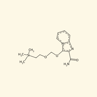 C[Si](C)(C)CCOCOc1c(C(N)=O)nc2ccccn12